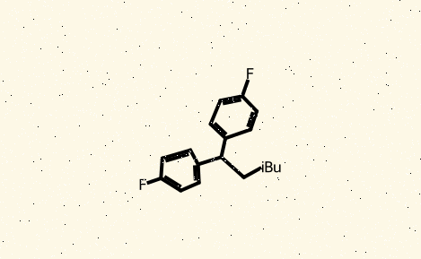 CCC(C)CC(c1ccc(F)cc1)c1ccc(F)cc1